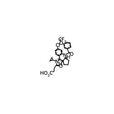 O=C(O)CCC(=O)N(C1CC1)[C@H]1c2ccc(Cl)cc2N(C(=O)c2cccc(OC(F)(F)F)c2)[C@@H]2CCC[C@@H]21